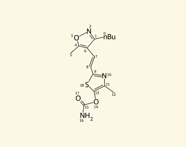 CCCCc1noc(C)c1/C=C/c1nc(C)c(OC(N)=O)s1